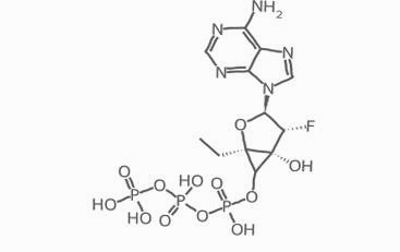 CC[C@]12O[C@@H](n3cnc4c(N)ncnc43)[C@H](F)[C@@]1(O)C2OP(=O)(O)OP(=O)(O)OP(=O)(O)O